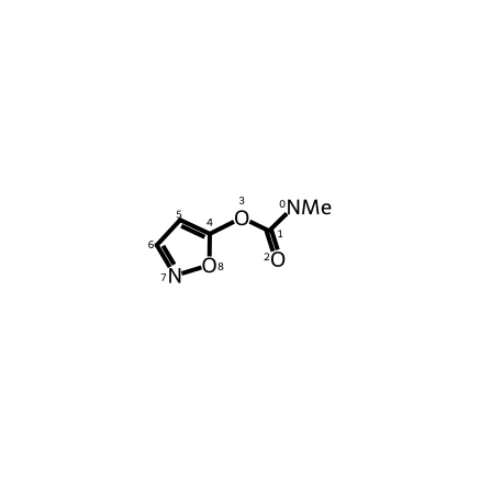 CNC(=O)Oc1ccno1